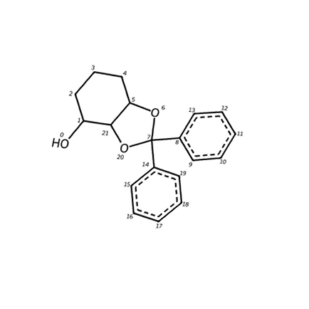 OC1CCCC2OC(c3ccccc3)(c3ccccc3)OC12